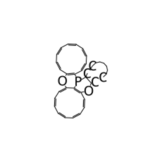 c1cccccc2c(cccc1)oc1cccccccccc3c1p2C1CCCCCCCCCCC1O3